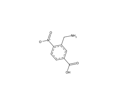 NCc1cc(C(=O)O)ccc1[N+](=O)[O-]